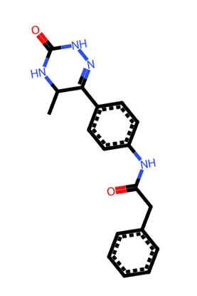 CC1NC(=O)NN=C1c1ccc(NC(=O)Cc2ccccc2)cc1